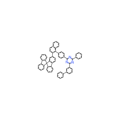 c1ccc(-c2cccc(-c3nc(-c4ccccc4)nc(-c4ccc(-c5c(-c6ccc7c(c6)C6(c8ccccc8-c8ccccc86)c6ccccc6-7)ccc6ccccc56)cc4)n3)c2)cc1